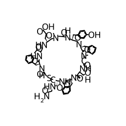 CC(C)C1NC(=O)[C@H](Cc2ccccc2)NC(=O)CSC[C@@H](C(=O)NCC(N)=O)NC(=O)[C@H](Cc2ccccc2)N(C)C(=O)[C@H]([C@@H](C)O)NC(=O)CN(C)C(=O)[C@H](Cc2ccccc2)N(C)C(=O)[C@H](Cc2ccc(O)cc2)NC(=O)CN(C)C(=O)[C@H](CCC(=O)O)NC1=O